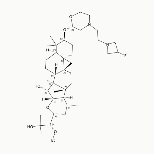 CCO[C@@H]([C@H]1C[C@@H](C)[C@H]2[C@H](O1)[C@H](O)[C@@]1(C)[C@@H]3CC[C@H]4C(C)(C)[C@@H](O[C@H]5CN(CCN6CC(F)C6)CCO5)CC[C@@]45C[C@@]35CC[C@]21C)C(C)(C)O